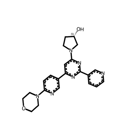 O[C@H]1CCN(c2cc(-c3ccc(N4CCOCC4)nc3)nc(-c3cccnc3)n2)C1